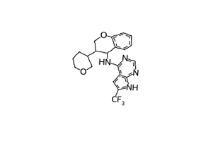 FC(F)(F)c1cc2c(NC3c4ccccc4OCC3C3CCCOC3)ncnc2[nH]1